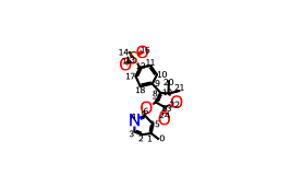 Cc1ccnc(OC2=C(c3ccc(S(C)(=O)=O)cc3)C(C)(C)OC2=O)c1